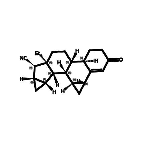 CC[C@]12CC[C@H]3[C@@H]([C@@H]4C[C@@H]4C4=CC(=O)CC[C@@H]43)[C@@H]1[C@@H]1C[C@@H]1[C@@H]2C#N